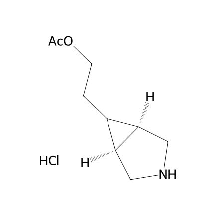 CC(=O)OCCC1[C@H]2CNC[C@@H]12.Cl